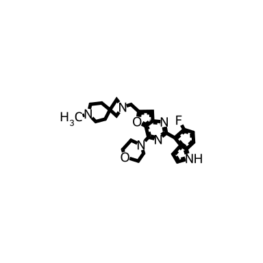 CN1CCC2(CC1)CN(Cc1cc3nc(-c4c(F)ccc5[nH]ccc45)nc(N4CCOCC4)c3o1)C2